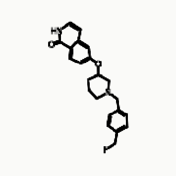 O=c1[nH]ccc2cc(OC3CCCN(Cc4ccc(CF)cc4)C3)ccc12